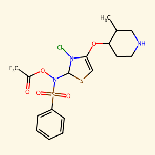 CC1CNCCC1OC1=CSC(N(OC(=O)C(F)(F)F)S(=O)(=O)c2ccccc2)N1Cl